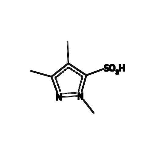 Cc1nn(C)c(S(=O)(=O)O)c1C